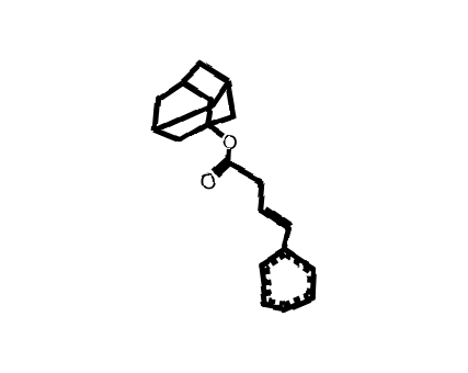 O=C(CC=Cc1ccccc1)OC12CC3CC(CC(C3)C1)C2